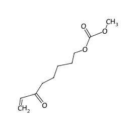 C=CC(=O)CCCCCOC(=O)OC